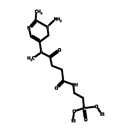 CCOP(=O)(CCNC(=O)CCC(=O)N(C)C1=CN=C(C)N(N)C1)OCC